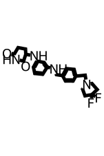 O=C1CCC(Nc2cccc(NCc3ccc(CN4CCC(F)(F)CC4)cc3)c2)C(=O)N1